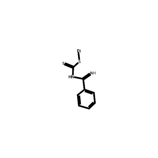 CCSC(=S)NC(=N)c1ccccc1